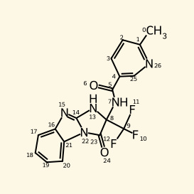 Cc1ccc(C(=O)NC2(C(F)(F)F)Nc3nc4ccccc4n3C2=O)cn1